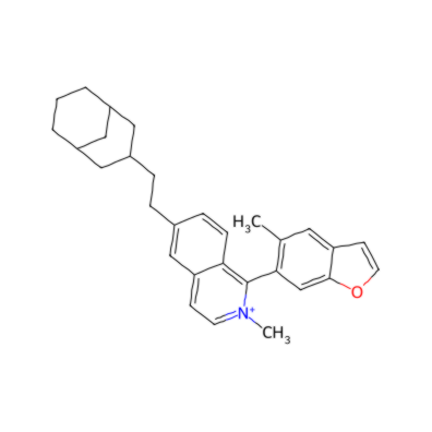 Cc1cc2ccoc2cc1-c1c2ccc(CCC3CC4CCCC(C4)C3)cc2cc[n+]1C